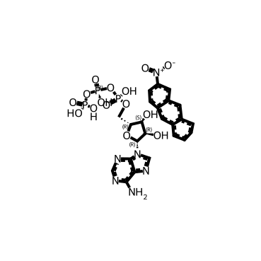 Nc1ncnc2c1ncn2[C@@H]1O[C@H](COP(=O)(O)O[P@](=O)(O)OP(=O)(O)O)[C@@H](O)[C@H]1O.O=[N+]([O-])c1ccc2cc3ccccc3cc2c1